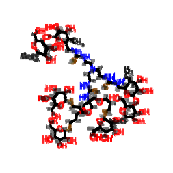 CO[C@H]1OC(CO)C(O[C@H]2OC(CNC(=S)NCCN(CCNC(=S)NCC3O[C@H](OC4C(CO)O[C@H](OC)C(O)[C@H]4O)C(O)[C@@H](O)C3C)CCNC(=S)NC(COCCCS[C@H]3OC(CO)[C@@H](O)[C@H](O)C3O)(COCCCS[C@@H]3OC(CO)[C@@H](O)[C@H](O)C3O)COCCCS[C@@H]3OC(CO)[C@@H](O)[C@H](O)C3O)C(C)[C@H](O)C2O)[C@H](O)C1O